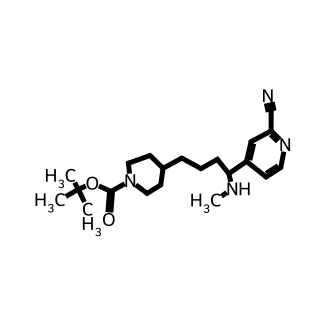 CNC(CCCC1CCN(C(=O)OC(C)(C)C)CC1)c1ccnc(C#N)c1